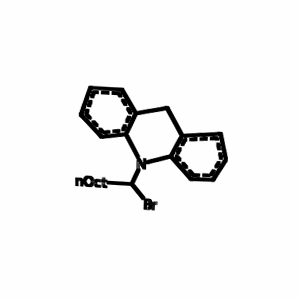 CCCCCCCCC(Br)N1c2ccccc2Cc2ccccc21